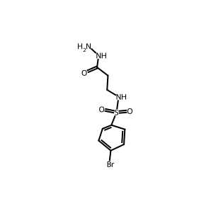 NNC(=O)CCNS(=O)(=O)c1ccc(Br)cc1